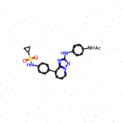 CC(=O)Nc1ccc(Nc2nc3c(-c4ccc(NS(=O)(=O)C5CC5)cc4)cccn3n2)cc1